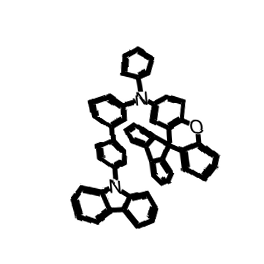 c1ccc(N(c2cccc(-c3ccc(-n4c5ccccc5c5ccccc54)cc3)c2)c2ccc3c(c2)C2(c4ccccc4O3)c3ccccc3-c3ccccc32)cc1